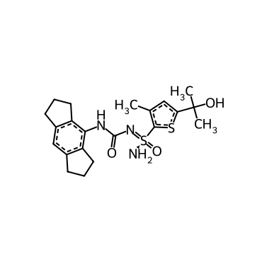 Cc1cc(C(C)(C)O)sc1[S@](N)(=O)=NC(=O)Nc1c2c(cc3c1CCC3)CCC2